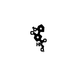 COCNC(=O)c1ccc(Cl)c(-c2ccccc2OC)c1